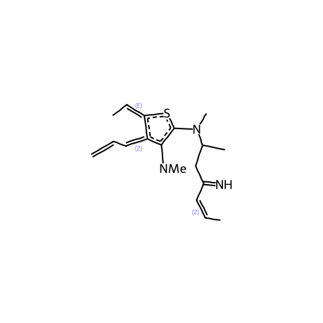 C=C/C=c1/c(NC)c(N(C)C(C)CC(=N)/C=C\C)s/c1=C/C